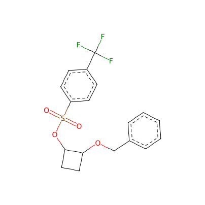 O=S(=O)(OC1CCC1OCc1ccccc1)c1ccc(C(F)(F)F)cc1